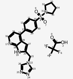 O=C(O)C(F)(F)F.O=S(=O)(c1ccc(-c2ccnc3[nH]c(Cn4cnnc4)cc23)cc1)N1CCCC1